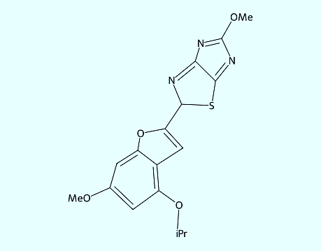 COC1=NC2=NC(c3cc4c(OC(C)C)cc(OC)cc4o3)SC2=N1